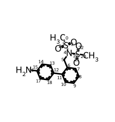 CS(=O)(=O)N(Cc1ccccc1-c1ccc(N)cc1)S(C)(=O)=O